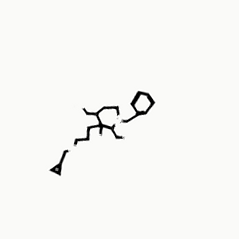 CCC1CCN(Cc2ccccc2)C(CC)C1(C)CCCOCC1CC1